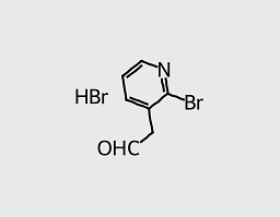 Br.O=CCc1cccnc1Br